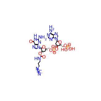 [N-]=[N+]=NCCCNC(=O)O[C@@H]1C[C@@H](COP(=O)(O)O[C@H]2C[C@H](n3cnc4c(N)ncnc43)O[C@@H]2COP(=O)(O)O)O[C@H]1n1cnc2c(=O)[nH]c(N)nc21